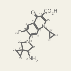 NC1CN(c2cc3c(cc2F)c(=O)c(C(=O)O)cn3C2CC2)CC12CC2